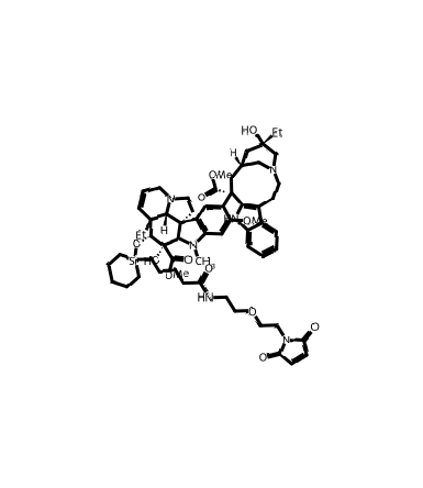 CC[C@]1(O)C[C@@H]2CN(CCc3c([nH]c4ccccc34)[C@@](C(=O)OC)(c3cc4c(cc3OC)N(C)C3[C@]45CCN4CC=C[C@@](CC)([C@@H](O[Si]6(CCCCC(=O)NCCOCCN7C(=O)C=CC7=O)CCCCC6)[C@]3(O)C(=O)OC)[C@H]45)C2)C1